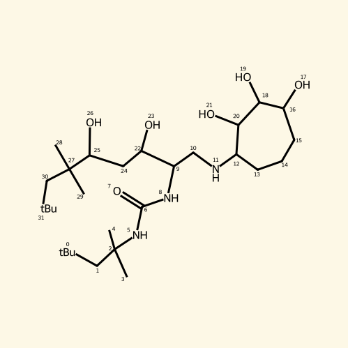 CC(C)(C)CC(C)(C)NC(=O)NC(CNC1CCCC(O)C(O)C1O)C(O)CC(O)C(C)(C)CC(C)(C)C